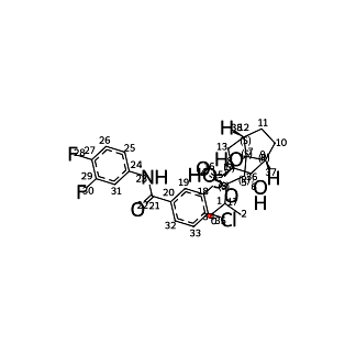 CC(C)[C@H](O)[C@@H](O)[C@@]1(O)[C@@H]2CC[C@H]1C[C@H](S(=O)(=O)c1cc(C(=O)Nc3ccc(F)c(F)c3)ccc1Cl)C2